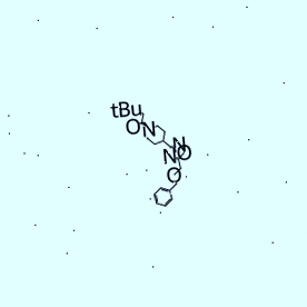 CC(C)(C)CC(=O)N1CCC(c2noc(COCc3ccccc3)n2)CC1